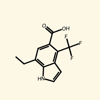 CCc1cc(C(=O)O)c(C(F)(F)F)c2cc[nH]c12